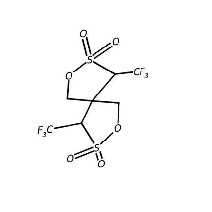 O=S1(=O)OCC2(COS(=O)(=O)C2C(F)(F)F)C1C(F)(F)F